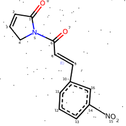 O=C1C=CCN1C(=O)/C=C/c1cccc([N+](=O)[O-])c1